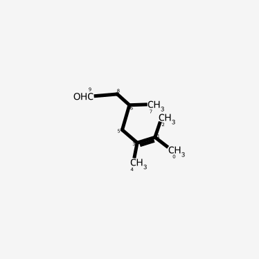 CC(C)=C(C)CC(C)CC=O